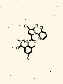 Cc1cc(Cl)cc(C(=O)N(C)C)c1NC(=O)c1cc(Cl)c(Cl)n1-c1ncccc1Cl